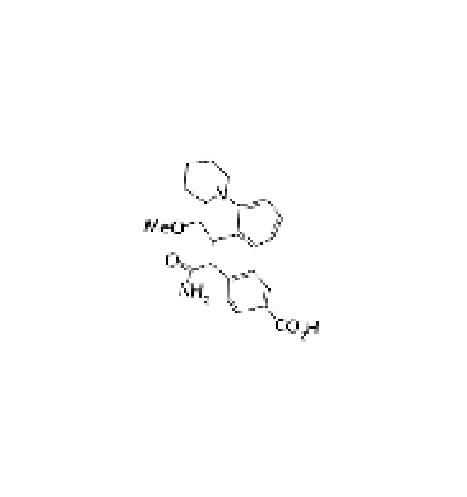 COCC(c1ccccc1N1CCCCC1)C(C(N)=O)c1ccc(C(=O)O)cc1